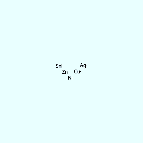 [Ag].[Cu].[Ni].[Sn].[Zn]